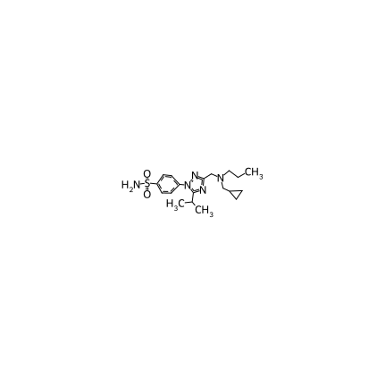 CCCN(Cc1nc(C(C)C)n(-c2ccc(S(N)(=O)=O)cc2)n1)CC1CC1